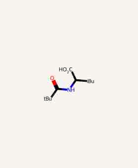 CCC(C)C(NC(=O)C(C)(C)C)C(=O)O